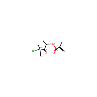 C=C(C)C(=O)OC(C)C(=O)C(C)(C)Br